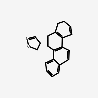 C1=CC2=C(CC1)CCc1c2ccc2ccccc12.C1=NOCC1